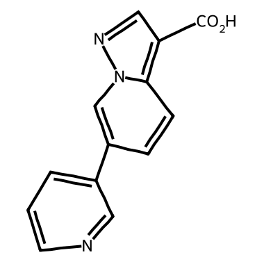 O=C(O)c1cnn2cc(-c3cccnc3)ccc12